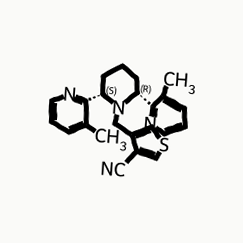 Cc1cccnc1[C@H]1CCC[C@@H](c2ncccc2C)N1Cc1cscc1C#N